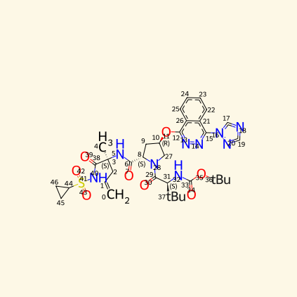 C=CC[C@](C)(NC(=O)[C@@H]1C[C@@H](Oc2nnc(-n3cncn3)c3ccccc23)CN1C(=O)[C@@H](NC(=O)OC(C)(C)C)C(C)(C)C)C(=O)NS(=O)(=O)C1CC1